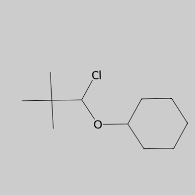 CC(C)(C)C(Cl)OC1CCCCC1